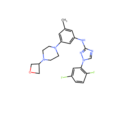 Cc1cc(Nc2ncn(-c3cc(F)ccc3F)n2)cc(N2CCN(C3COC3)CC2)c1